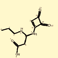 CCCNC(CC(=O)O)Nc1cc(=O)c1=O